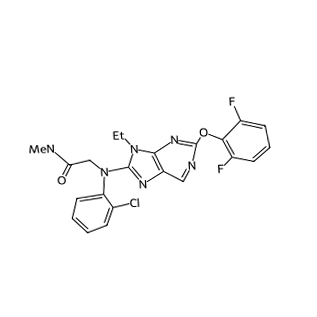 CCn1c(N(CC(=O)NC)c2ccccc2Cl)nc2cnc(Oc3c(F)cccc3F)nc21